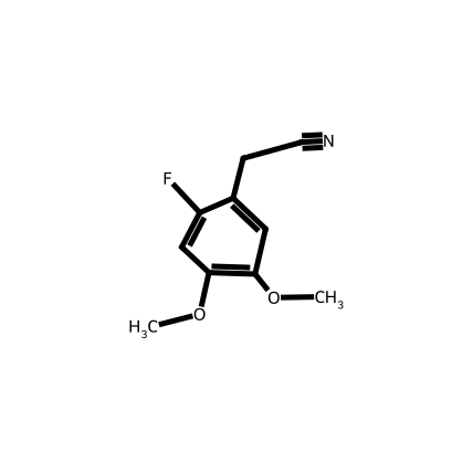 COc1cc(F)c(CC#N)cc1OC